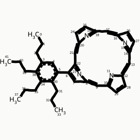 CCCc1cc(C2=CC3=CC4=NC(=CC5=NC(=CC6=NC(=CC2=N3)C=C6)C=C5)C=C4)c(CCC)c(CCC)c1CCC